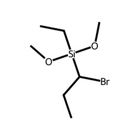 CCC(Br)[Si](CC)(OC)OC